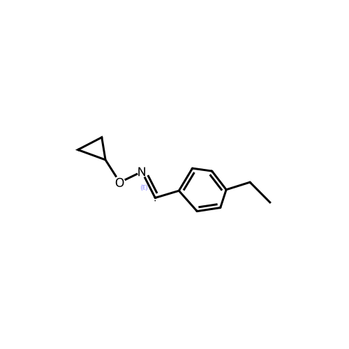 CCc1ccc(/[C]=N/OC2CC2)cc1